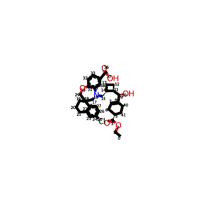 CCOC(=O)[C@@H]1CC=C([C@H](O)[C@@H]2CC[C@H]2CN2CC3(CCCc4cc(Cl)ccc43)COc3ccc(C(=O)O)cc32)CC1